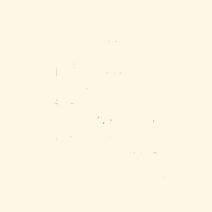 COC(CN(CC(OC)OC=O)c1ccccc1)OC=O